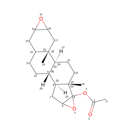 CC(=O)OC12OC1C[C@H]1[C@@H]3CCC4CC5OC5C[C@]4(C)[C@H]3CC[C@@]12C